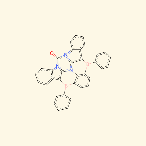 O=c1n2c3ccccc3c3c2n2c4c(c5ccccc5n14)B(c1ccccc1)c1cccc(c1-2)B3c1ccccc1